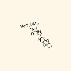 COC(CNC(=O)NCC(C)c1cc(OC2CCCC2)c(O)cn1)OC